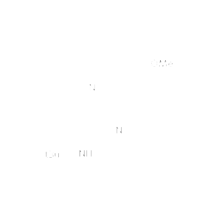 COCc1cnc(NC(C)(C)C)cn1